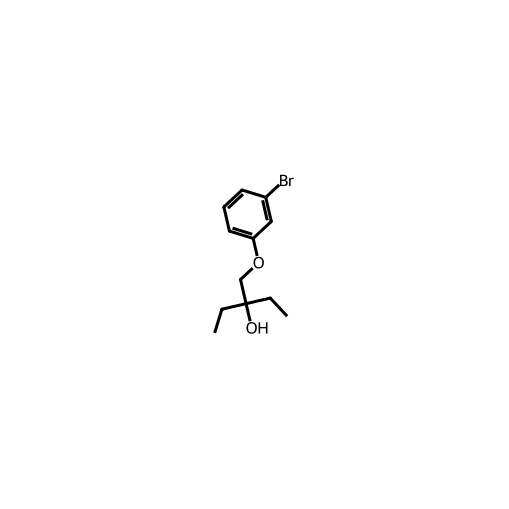 CCC(O)(CC)COc1cccc(Br)c1